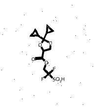 O=C(OCC(F)(F)S(=O)(=O)O)C1COC(C2CC2)(C2CC2)O1